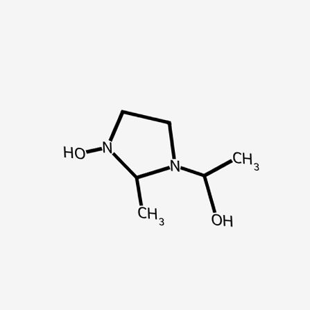 CC(O)N1CCN(O)C1C